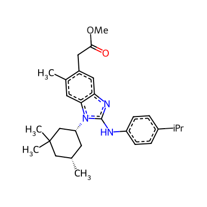 COC(=O)Cc1cc2nc(Nc3ccc(C(C)C)cc3)n([C@@H]3C[C@H](C)CC(C)(C)C3)c2cc1C